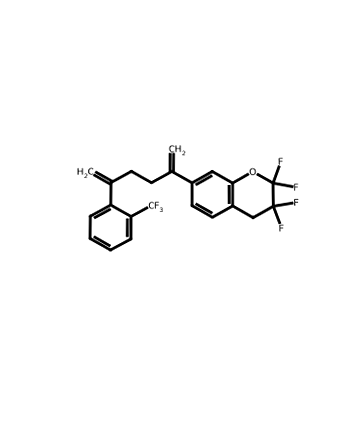 C=C(CCC(=C)c1ccccc1C(F)(F)F)c1ccc2c(c1)OC(F)(F)C(F)(F)C2